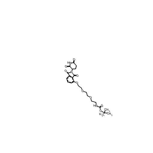 CC(C)(C)OC(=O)NCCOCCOCCOc1cccc2c1C(=O)N(C1CCC(=O)NC1=O)C2=O